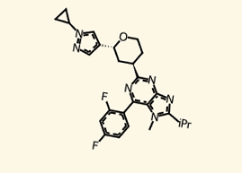 CC(C)c1nc2nc([C@@H]3CCO[C@@H](c4cnn(C5CC5)c4)C3)nc(-c3ccc(F)cc3F)c2n1C